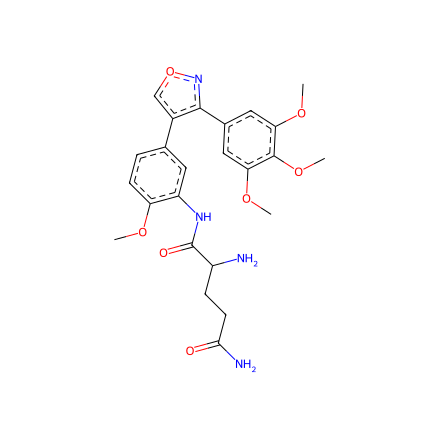 COc1ccc(-c2conc2-c2cc(OC)c(OC)c(OC)c2)cc1NC(=O)C(N)CCC(N)=O